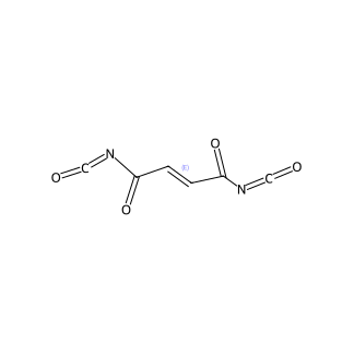 O=C=NC(=O)/C=C/C(=O)N=C=O